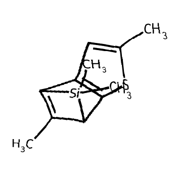 CC1=C2c3cc(C)sc3C1[Si]2(C)C